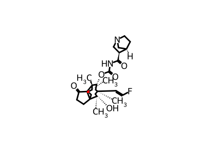 C[C@@H]1CCC23CCC(=O)C2[C@]1(C)[C@H](OC(=O)NC(=O)[C@H]1CN2CC[C@@H]1C2)C[C@@](C)(/C=C/F)[C@@H](O)[C@@H]3C